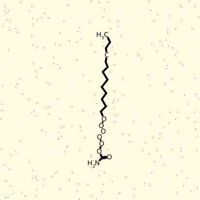 CCCCCCCCCCCCCOOOOOOC(N)=O